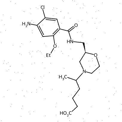 CCOc1cc(N)c(Cl)cc1C(=O)NC[C@@H]1CN(C(C)CCCC(=O)O)CCO1